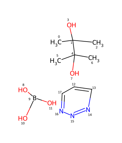 CC(C)(O)C(C)(C)O.OB(O)O.c1cnnnc1